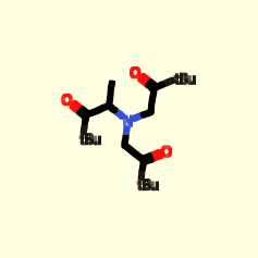 CC(C(=O)C(C)(C)C)N(CC(=O)C(C)(C)C)CC(=O)C(C)(C)C